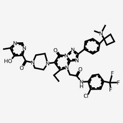 CCc1c(N2CCN(C(=O)c3ncnc(C)c3O)CC2)c(=O)n2nc(-c3ccc(C4(N(C)C)CCC4)cc3)nc2n1CC(=O)Nc1ccc(C(F)(F)F)cc1Cl